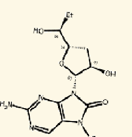 CCCn1c(=O)n([C@@H]2O[C@H]([C@@H](O)CC)C[C@H]2O)c2nc(N)ncc21